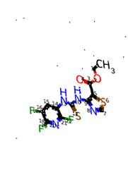 CCOC(=O)c1scnc1NC(=S)Nc1cc(F)c(F)nc1F